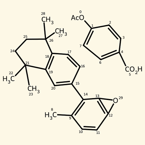 CC(=O)Oc1ccc(C(=O)O)cc1.Cc1ccc2c(c1-c1ccc3c(c1)C(C)(C)CCC3(C)C)O2